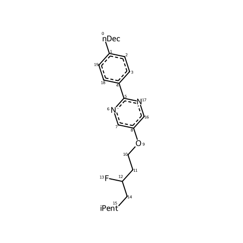 CCCCCCCCCCc1ccc(-c2ncc(OCCC(F)CC(C)CCC)cn2)cc1